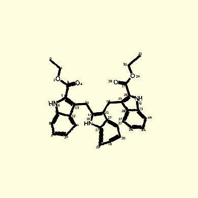 CCOC(=O)c1[nH]c2ccccc2c1Cc1[nH]c2ccccc2c1Cc1c(C(=O)OCC)[nH]c2ccccc12